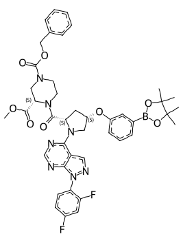 COC(=O)[C@@H]1CN(C(=O)OCc2ccccc2)CCN1C(=O)[C@@H]1C[C@H](Oc2cccc(B3OC(C)(C)C(C)(C)O3)c2)CN1c1ncnc2c1cnn2-c1ccc(F)cc1F